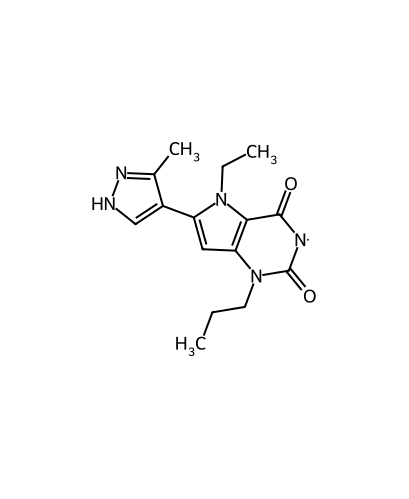 CCCN1C(=O)[N]C(=O)c2c1cc(-c1c[nH]nc1C)n2CC